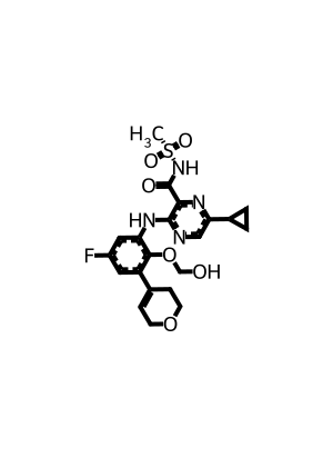 CS(=O)(=O)NC(=O)c1nc(C2CC2)cnc1Nc1cc(F)cc(C2=CCOCC2)c1OCO